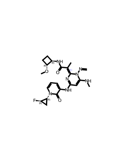 C=NN1C(NC)=CC(Nc2cccn([C@@H]3C[C@H]3F)c2=O)=N/C1=C(/C)C(=O)N[C@@H]1CC[C@H]1OC